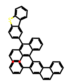 c1ccc(-c2cc3ccc4ccccc4c3cc2-c2c3ccccc3c(-c3ccc4sc5ccccc5c4c3)c3ccccc23)cc1